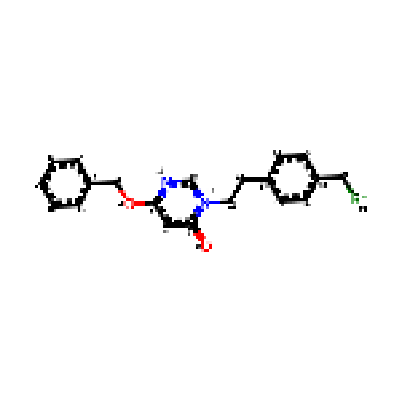 O=c1cc(OCc2ccccc2)ncn1CCc1ccc(CBr)cc1